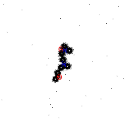 c1ccc2c(c1)oc1cc(-c3ccc4c(c3)c3ccccc3n4-c3ccc(-c4ccc5c(c4)-n4c6ccccc6c6cccc(c64)O5)cc3)ccc12